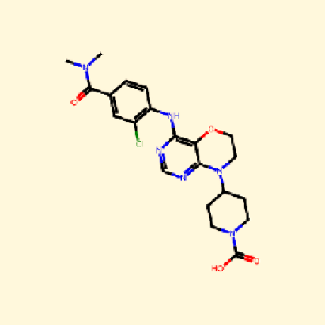 CN(C)C(=O)c1ccc(Nc2ncnc3c2OCCN3C2CCN(C(=O)O)CC2)c(Cl)c1